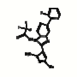 Cn1nc(C(C)(C)C)cc1-c1nc2cc(-c3ccccc3F)ccc2[nH]1.O=C(O)C(F)(F)F